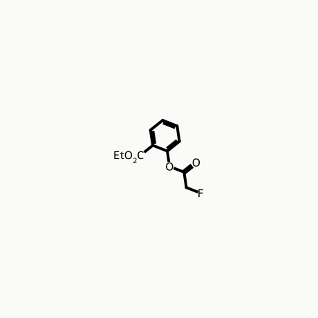 CCOC(=O)c1ccccc1OC(=O)CF